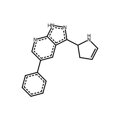 C1=CNC(c2n[nH]c3ncc(-c4ccccc4)cc23)C1